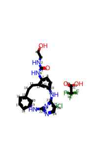 O=C(NCCO)Nc1ccc2cc1CCc1cccc(c1)Nc1ncc(Cl)c(n1)N2.O=C(O)C(F)(F)F